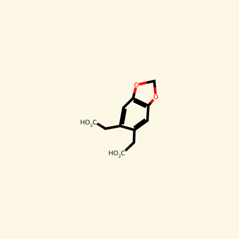 O=C(O)Cc1cc2c(cc1CC(=O)O)OCO2